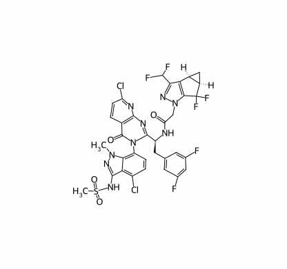 Cn1nc(NS(C)(=O)=O)c2c(Cl)ccc(-n3c([C@H](Cc4cc(F)cc(F)c4)NC(=O)Cn4nc(C(F)F)c5c4C(F)(F)[C@@H]4C[C@H]54)nc4nc(Cl)ccc4c3=O)c21